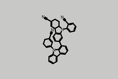 N#CC1=CC(n2c3ccccc3c3cccc(-c4ccc5c(c4)N(c4ccccc4C#N)C4CCC(C#N)=CC54)c32)=CCC1